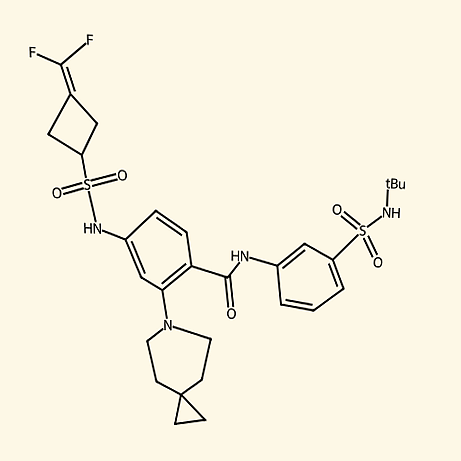 CC(C)(C)NS(=O)(=O)c1cccc(NC(=O)c2ccc(NS(=O)(=O)C3CC(=C(F)F)C3)cc2N2CCC3(CC2)CC3)c1